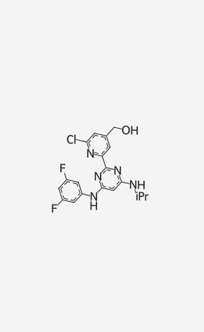 CC(C)Nc1cc(Nc2cc(F)cc(F)c2)nc(-c2cc(CO)cc(Cl)n2)n1